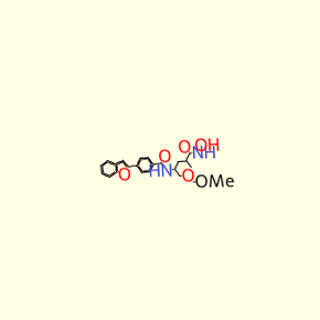 COCOCC(CC(C)C(=O)NO)NC(=O)c1ccc(-c2cc3ccccc3o2)cc1